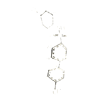 Cc1ccc(-c2ccc(S(=O)(=O)N[C@H]3CC[C@H](O)CC3)cc2)cc1